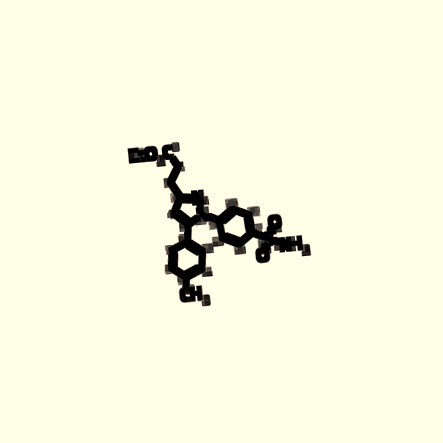 CCOC(=O)CCc1cc(-c2ccc(C)cc2)n(-c2ccc(S(N)(=O)=O)cc2)n1